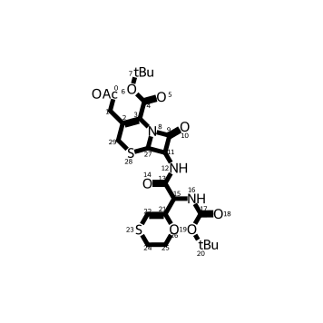 CC(=O)OCC1=C(C(=O)OC(C)(C)C)N2C(=O)C(NC(=O)C(NC(=O)OC(C)(C)C)C3=CSCCO3)C2SC1